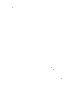 C/C=C/c1cccc2c1ccn2C